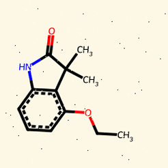 CCOc1cccc2c1C(C)(C)C(=O)N2